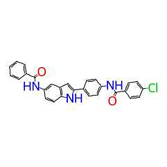 O=C(Nc1ccc(-c2cc3cc(NC(=O)c4ccccc4)ccc3[nH]2)cc1)c1ccc(Cl)cc1